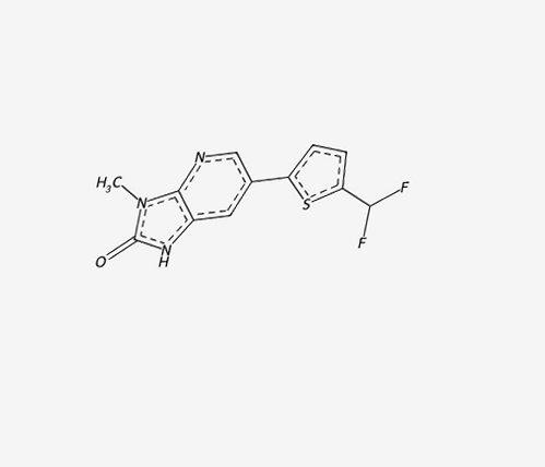 Cn1c(=O)[nH]c2cc(-c3ccc(C(F)F)s3)cnc21